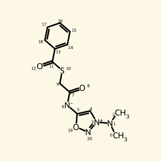 CN(C)[n+]1cc([N-]C(=O)CSC(=O)c2ccccc2)on1